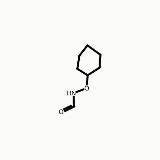 O=[C]NOC1CCCCC1